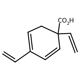 C=CC1=CCC(C=C)(C(=O)O)C=C1